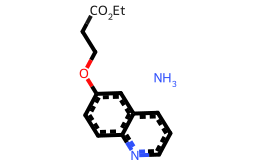 CCOC(=O)CCOc1ccc2ncccc2c1.N